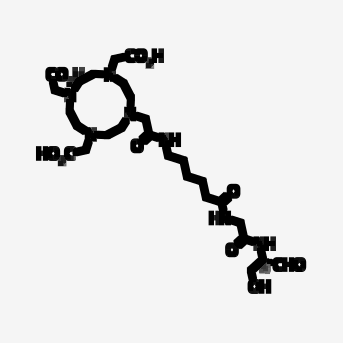 O=C[C@H](CO)NC(=O)CNC(=O)CCCCCNC(=O)CN1CCN(CC(=O)O)CCN(CC(=O)O)CCN(CC(=O)O)CC1